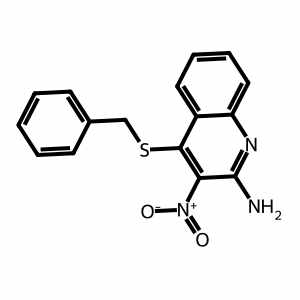 Nc1nc2ccccc2c(SCc2ccccc2)c1[N+](=O)[O-]